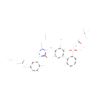 CCCCc1nn(-c2cc(NC(=O)CSCC)ccc2Br)c(=O)n1Cc1ccc(-c2ccccc2S(=O)(=O)NC(=O)OC(C)(C)C)cc1F